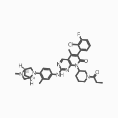 CCC(=O)N1CCCC(n2c(=O)c(-c3cccc(F)c3Cl)c(C)c3cnc(Nc4ccc(N5C[C@@H]6C[C@H]5CN6C)c(C)c4)nc32)C1